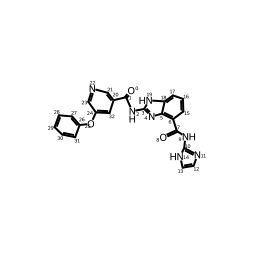 O=C(Nc1nc2c(C(=O)Nc3ncc[nH]3)cccc2[nH]1)c1cncc(Oc2ccccc2)c1